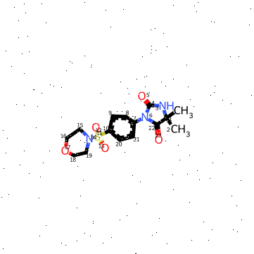 CC1(C)NC(=O)N(c2ccc(S(=O)(=O)N3CCOCC3)cc2)C1=O